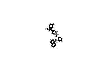 O=S(=O)(c1cccc2ncccc12)N1CCCC[C@H]1CCN1CC=C(c2c[nH]c3ccc(Cl)cc23)CC1